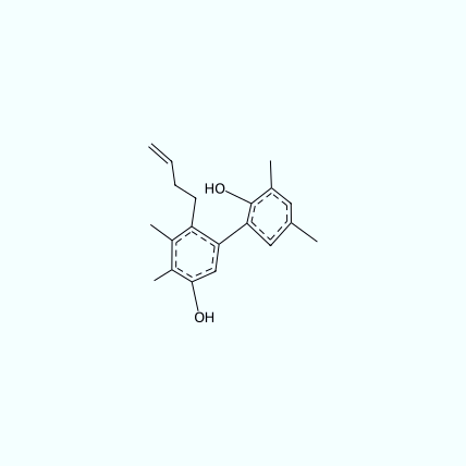 C=CCCc1c(-c2cc(C)cc(C)c2O)cc(O)c(C)c1C